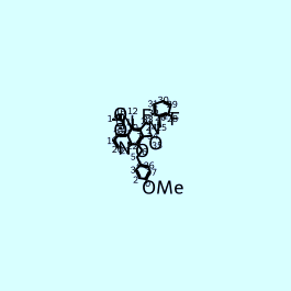 COc1ccc(COc2c3c(c(N(C)S(C)(=O)=O)c4cccnc24)CN(Cc2c(F)cccc2F)C3=O)cc1